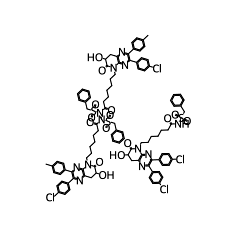 Cc1ccc(-c2nc3c(nc2-c2ccc(Cl)cc2)N(CCCCCCC(=O)N(N(C(=O)CCCCCCN2C(=O)C(O)Cc4nc(-c5ccc(Cl)cc5)c(-c5ccc(C)cc5)nc42)S(=O)(=O)Cc2ccccc2)S(=O)(=O)Cc2ccccc2)C(=O)C(O)C3)cc1.O=C(CCCCCCN1C(=O)C(O)Cc2nc(-c3ccc(Cl)cc3)c(-c3ccc(Cl)cc3)nc21)NS(=O)(=O)Cc1ccccc1